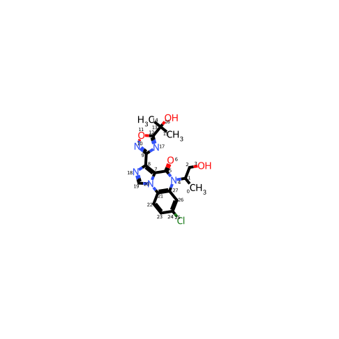 CC(CO)n1c(=O)c2c(-c3noc(C(C)(C)O)n3)ncn2c2ccc(Cl)cc21